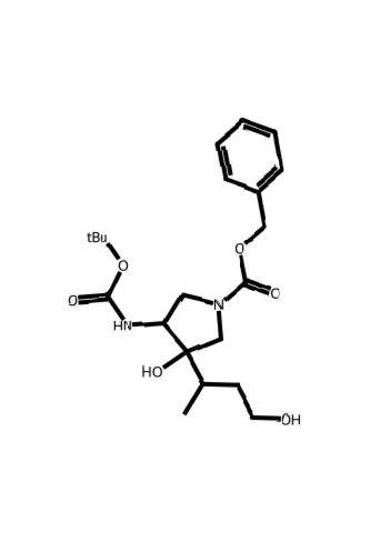 CC(CCO)C1(O)CN(C(=O)OCc2ccccc2)CC1NC(=O)OC(C)(C)C